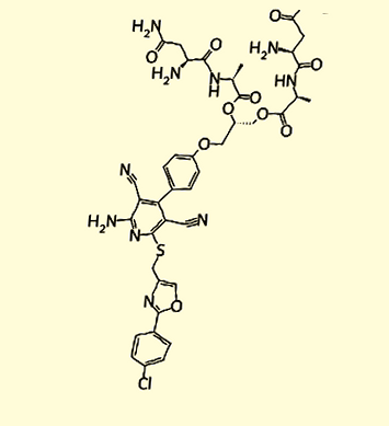 C[C@H](NC(=O)[C@@H](N)CC(N)=O)C(=O)OC[C@H](COc1ccc(-c2c(C#N)c(N)nc(SCc3coc(-c4ccc(Cl)cc4)n3)c2C#N)cc1)OC(=O)[C@H](C)NC(=O)[C@@H](N)CC(N)=O